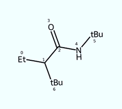 CCC(C(=O)NC(C)(C)C)C(C)(C)C